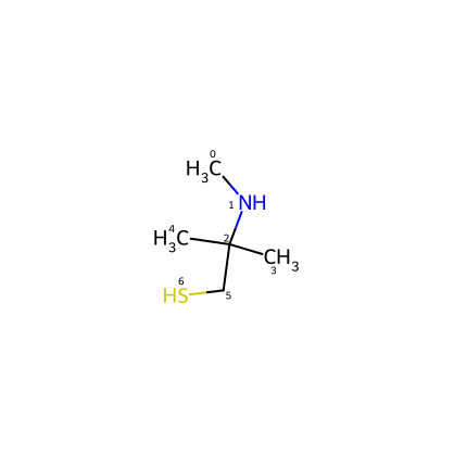 CNC(C)(C)CS